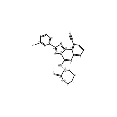 N#Cc1cccc2nc(N[C@@H]3CCCCNC3=O)n3nc(-c4cccc(F)c4)nc3c12